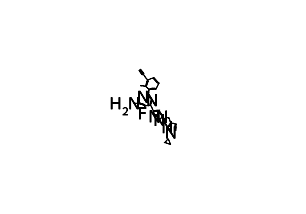 C#Cc1cccc(-c2nc(N)c(F)c(-c3cn(Cc4ccn(C5CC5)n4)nn3)n2)c1C